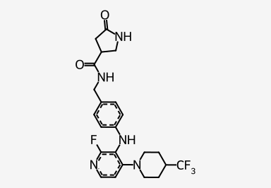 O=C1CC(C(=O)NCc2ccc(Nc3c(N4CCC(C(F)(F)F)CC4)ccnc3F)cc2)CN1